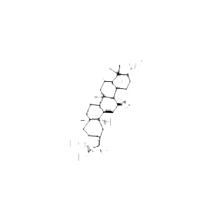 CCN(O)C(=O)[C@@]1(C)CC[C@]2(C)CC[C@]3(C)C(=CC(=O)[C@@H]4[C@@]5(C)CC[C@H](OC(C)=O)C(C)(C)C5CC[C@]43C)[C@@H]2C1